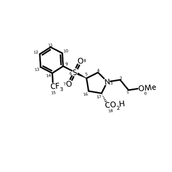 COCCN1C[C@H](S(=O)(=O)c2ccccc2C(F)(F)F)C[C@H]1C(=O)O